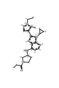 CCC(=O)N1CC[C@H](Nc2ncnc3c2nc(-c2cnn(CC)c2C)n3C2CC2)C1